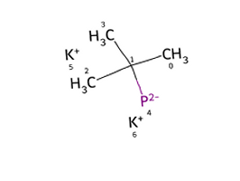 CC(C)(C)[P-2].[K+].[K+]